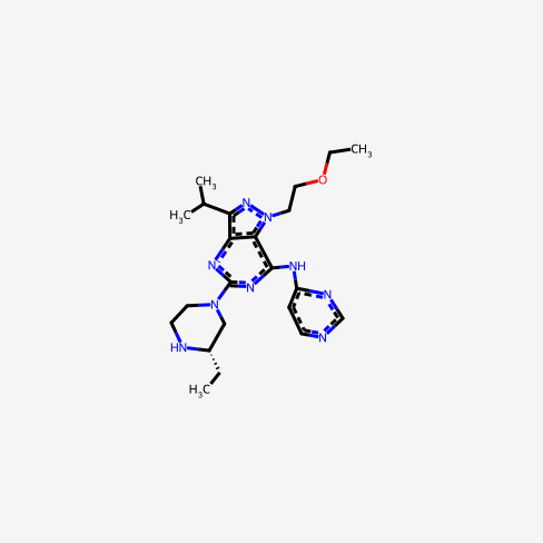 CCOCCn1nc(C(C)C)c2nc(N3CCN[C@@H](CC)C3)nc(Nc3ccncn3)c21